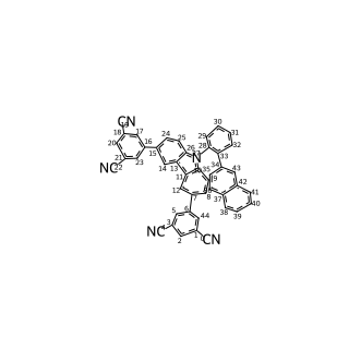 N#Cc1cc(C#N)cc(-c2ccc3c(c2)c2cc(-c4cc(C#N)cc(C#N)c4)ccc2n3-c2ccccc2-c2ccc3ccccc3c2)c1